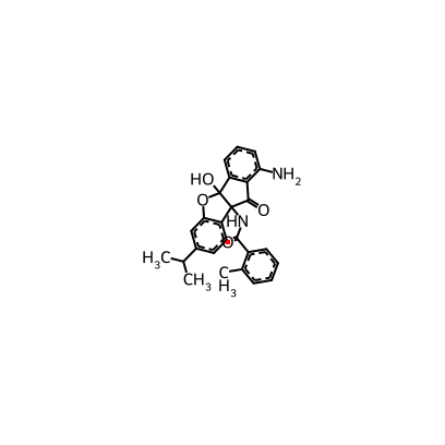 Cc1ccccc1C(=O)NC12C(=O)c3c(N)cccc3C1(O)Oc1cc(C(C)C)ccc12